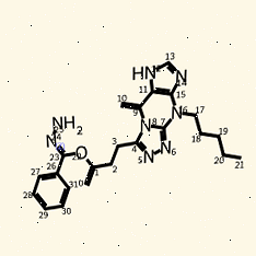 C=C(CCc1nnc2n1C(=C)c1[nH]cnc1N2CCCCC)O/C(=N\N)c1ccccc1